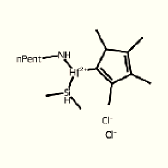 CCCCC[NH][Hf+2]([C]1=C(C)C(C)=C(C)C1C)[SiH](C)C.[Cl-].[Cl-]